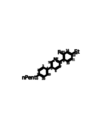 CCCCCc1ccc(-c2ccc(-c3ccc(CC)cc3F)nc2)cc1